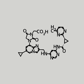 Cc1ccnc([C@H]2C[C@@H]2C(=O)Nc2cc(NCc3cn4cc(C5CC5)cc(N5CC(=O)N(CC(=O)O)C5=O)c4n3)ncn2)n1